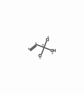 C=CC(O)(Cl)Cl